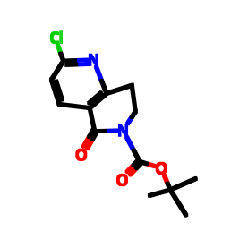 CC(C)(C)OC(=O)N1CCc2nc(Cl)ccc2C1=O